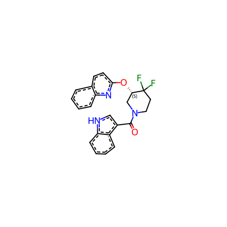 O=C(c1c[nH]c2ccccc12)N1CCC(F)(F)[C@@H](Oc2ccc3ccccc3n2)C1